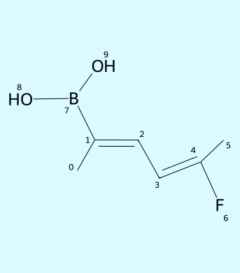 C/C(=C\C=C(/C)F)B(O)O